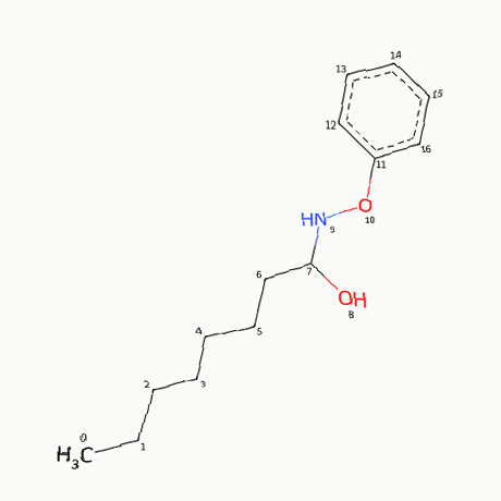 CCCCCCCC(O)NOc1ccccc1